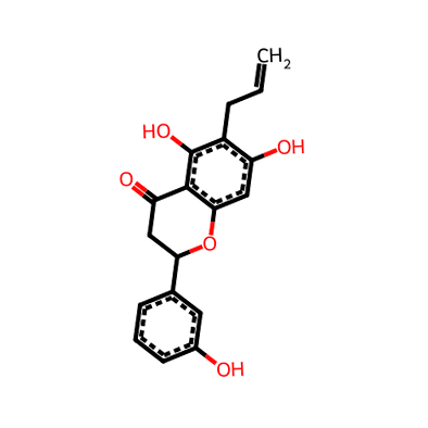 C=CCc1c(O)cc2c(c1O)C(=O)CC(c1cccc(O)c1)O2